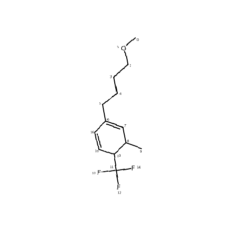 COCCCCC1=CC(C)C(C(F)(F)F)C=C1